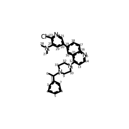 CC(c1ccccc1)N1CCN(c2ccnc3ccc(-c4cnc(Cl)c(N(C)C)c4)cc23)CC1